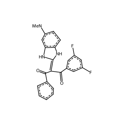 CNc1ccc2c(c1)NC(=C(C(=O)c1ccccc1)C(=O)c1cc(F)cc(F)c1)N2